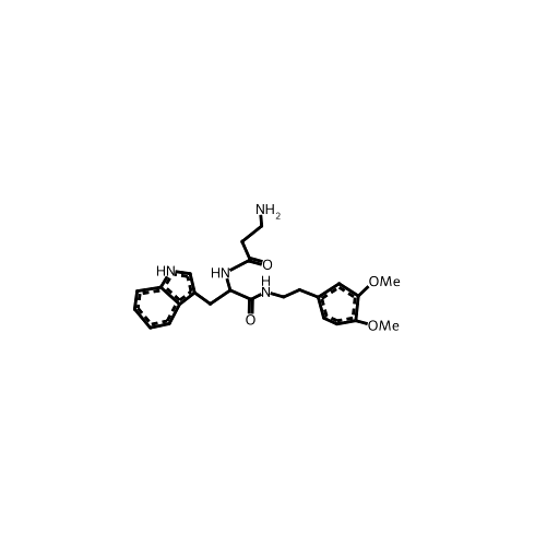 COc1ccc(CCNC(=O)C(Cc2c[nH]c3ccccc23)NC(=O)CCN)cc1OC